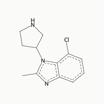 Cc1nc2cccc(Cl)c2n1C1CCNC1